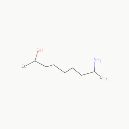 CCC(O)CCCCCC(C)N